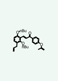 C=CCc1ccc(OCCCC)c(C=CC(=O)c2ccc(OC(=C)C)cc2)c1OCCCC